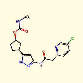 CC(C)(C)NC(=O)O[C@@H]1CC[C@H](c2cc(NC(=O)Cc3ccc(Cl)cn3)n[nH]2)C1